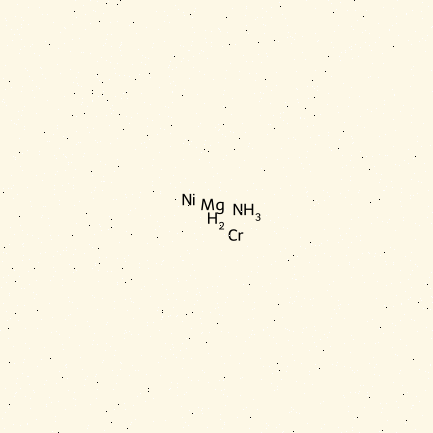 N.[Cr].[MgH2].[Ni]